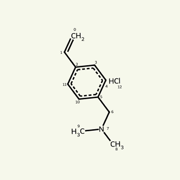 C=Cc1ccc(CN(C)C)cc1.Cl